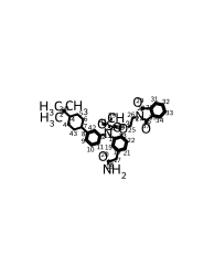 CC(C)(C)C1CCC(c2cccc(N(c3cc(CC(N)=O)ccc3OCCN3C(=O)c4ccccc4C3=O)S(C)(=O)=O)c2)CC1